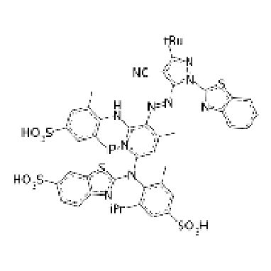 Cc1cc(N(c2nc3ccc(S(=O)(=O)O)cc3s2)c2c(C)cc(S(=O)(=O)O)cc2C(C)C)nc(Nc2c(C)cc(S(=O)(=O)O)cc2C(C)C)c1N=Nc1c(C#N)c(C(C)(C)C)nn1-c1nc2ccccc2s1